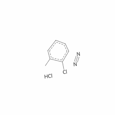 Cc1ccccc1Cl.Cl.N#N